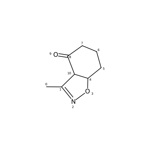 CC1=NOC2CCCC(=O)C12